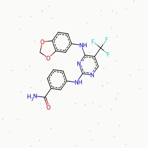 NC(=O)c1cccc(Nc2ncc(C(F)(F)F)c(Nc3ccc4c(c3)OCO4)n2)c1